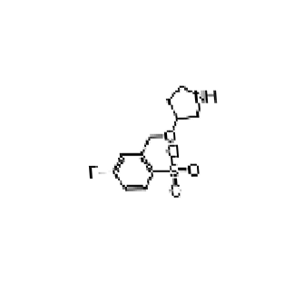 O=S(=O)(Cl)c1ccc(F)cc1CO[C@H]1CCNC1